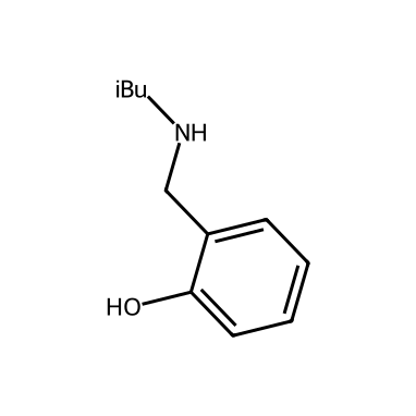 CCC(C)NCc1ccccc1O